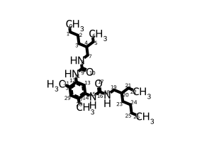 CCCCC(CC)CNC(=O)Nc1cc(NC(=O)NCC(CC)CCCC)c(C)cc1C